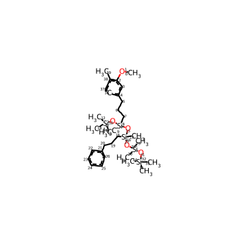 COc1cc(CCC[Si](C)(O[Si](C)(C)C)O[Si](C)(CCCc2ccccc2)O[Si](C)(C)O[Si](C)(C)C)ccc1C